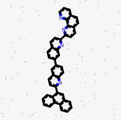 c1ccc2c(c1)cc(-c1ccc3cc(-c4ccc5ccc(-c6ccc7ccc8cccnc8c7n6)nc5c4)ccc3n1)c1ccccc12